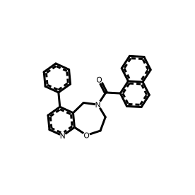 O=C(c1cccc2ccccc12)N1CCOc2nccc(-c3ccccc3)c2C1